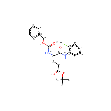 CC(C)(C)OC(=O)CC[C@H](NC(=O)OCc1ccccc1)C(=O)Nc1ccccc1F